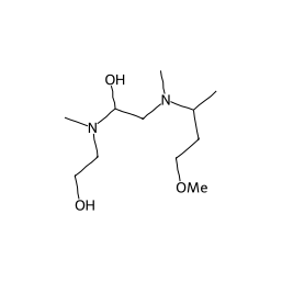 COCCC(C)N(C)CC(O)N(C)CCO